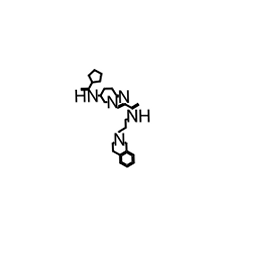 C=C(NCCCN1CCc2ccccc2C1)c1cn2c(n1)CCC(NC(=C)C1CCCC1)C2